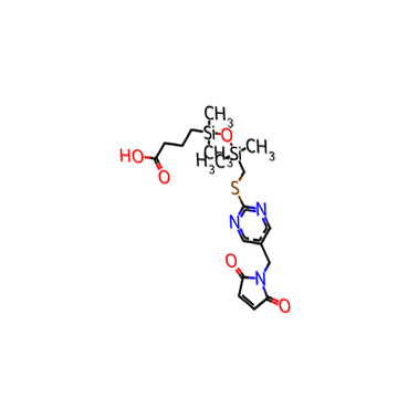 C[Si](C)(CCCC(=O)O)O[Si](C)(C)CSc1ncc(CN2C(=O)C=CC2=O)cn1